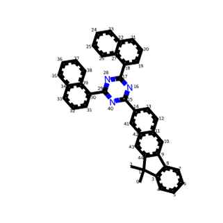 CC1(C)c2ccccc2-c2cc3ccc(-c4nc(-c5cccc6ccccc56)nc(-c5cccc6ccccc56)n4)cc3cc21